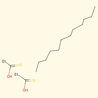 CCC(O)=S.CCC(O)=S.CCCCCCCCCCCC